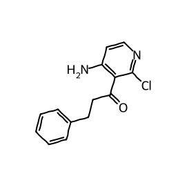 Nc1ccnc(Cl)c1C(=O)CCc1ccccc1